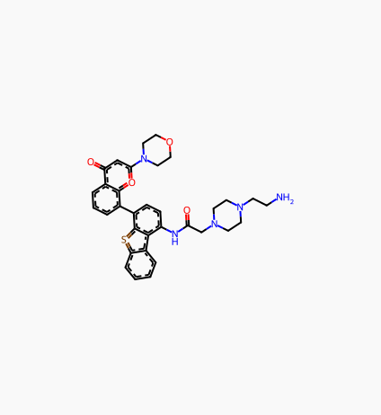 NCCN1CCN(CC(=O)Nc2ccc(-c3cccc4c(=O)cc(N5CCOCC5)oc34)c3sc4ccccc4c23)CC1